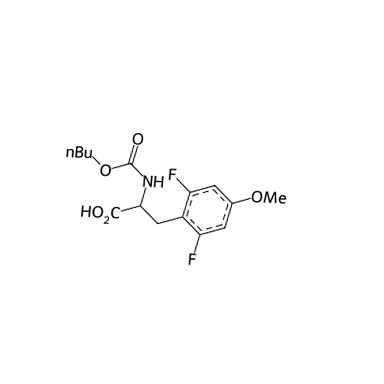 CCCCOC(=O)NC(Cc1c(F)cc(OC)cc1F)C(=O)O